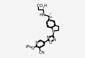 CC(C)Oc1ncc(-c2nc(N3CCc4cc([C@@H](C)NCCC(=O)O)ccc43)no2)cc1C#N